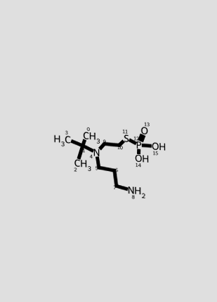 CC(C)(C)N(CCCN)CCSP(=O)(O)O